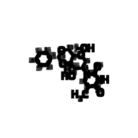 Cc1cn([C@@H]2CO[C@]3(CO)CO[C@@H](c4ccccc4)O[C@H]3[C@H]2O)c(=O)[nH]c1=O